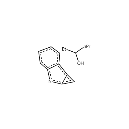 CCCC(O)CC.c1ccc2c3cc-3nc2c1